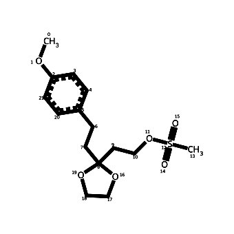 COc1ccc(CCC2(CCOS(C)(=O)=O)OCCO2)cc1